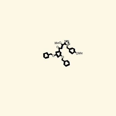 CO/C(=C\C(=O)c1cc(OCc2ccccc2)cc(OCc2ccccc2)c1)c1nnnn1Cc1ccc(OC)cc1